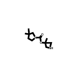 CC1(C)CCN(C(=O)OC2(C)CNC2)C1